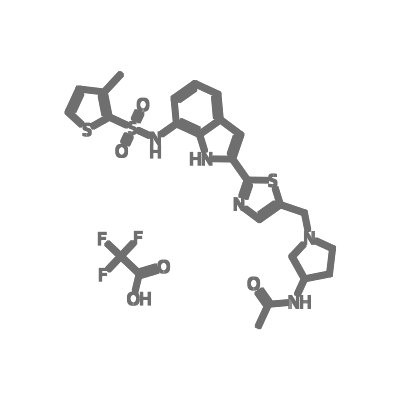 CC(=O)NC1CCN(Cc2cnc(-c3cc4cccc(NS(=O)(=O)c5sccc5C)c4[nH]3)s2)C1.O=C(O)C(F)(F)F